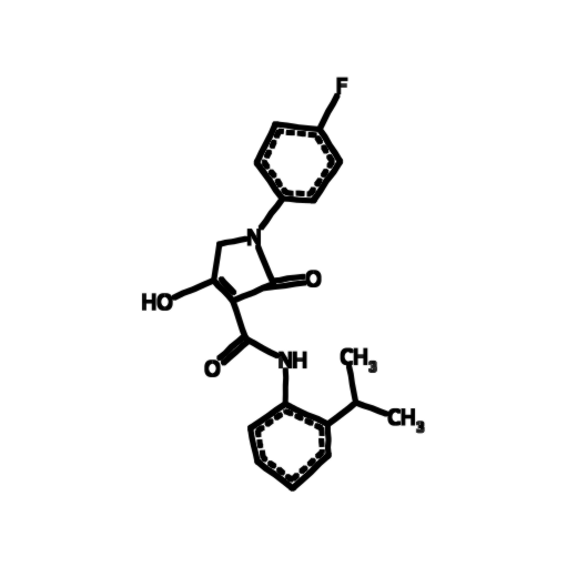 CC(C)c1ccccc1NC(=O)C1=C(O)CN(c2ccc(F)cc2)C1=O